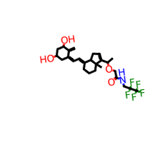 C=C1C(=CC=C2CCCC3(C)C(C(C)OCC(=O)NCC(F)(F)C(F)(F)F)=CCC23)CC(O)CC1O